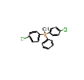 CS(c1ccccc1)(c1ccc(Cl)cc1)c1ccc(Cl)cc1